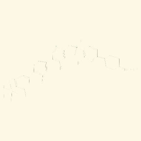 CCCCCC1CCC(c2ccc(C(F)(F)Oc3ccc(-c4ccc(-c5cc(F)c(S(F)(F)(F)(F)F)c(F)c5)c(F)c4)c(F)c3)c(F)c2)CC1